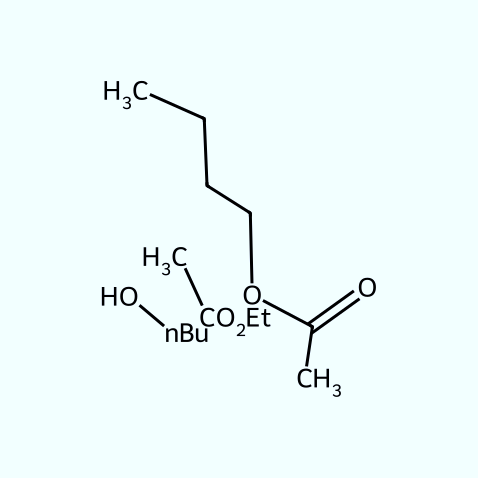 CCCCO.CCCCOC(C)=O.CCOC(C)=O